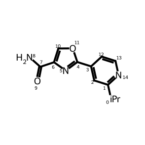 CC(C)c1cc(-c2nc(C(N)=O)co2)ccn1